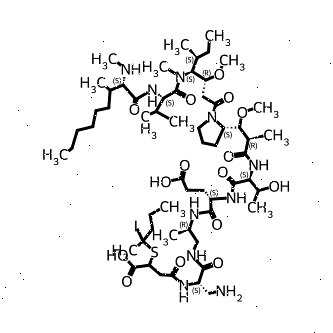 CCCCCCC(C)[C@H](NC)C(=O)N[C@H](C(=O)N(C)[C@@H]([C@@H](C)CC)[C@@H](CC(=O)N1CCC[C@H]1C(OC)[C@@H](C)C(=O)N[C@H](C(=O)N[C@@H](CCC(=O)O)C(=O)N[C@H](C)CNC(=O)[C@H](CN)NC(=O)CC(SC(C)(I)CCC)C(=O)O)C(C)O)OC)C(C)C